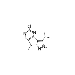 CC(C)c1c2c3nc(Cl)ncc3n(C)c2nn1C